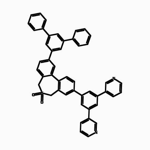 O=S1(=O)Cc2cc(-c3cc(-c4cccnc4)cc(-c4cccnc4)c3)ccc2-c2cc(-c3cc(-c4ccccc4)cc(-c4ccccc4)c3)ccc2C1